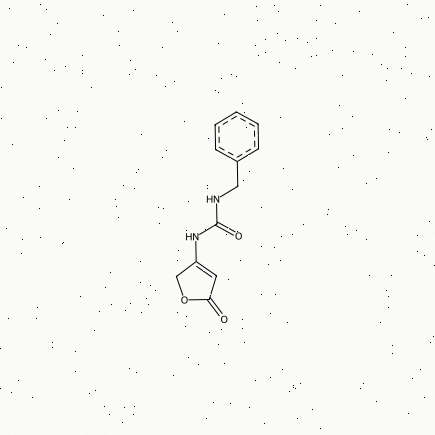 O=C(NCc1ccccc1)NC1=CC(=O)OC1